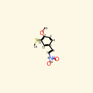 COc1ccc(C=C[N+](=O)[O-])cc1SC